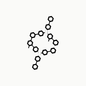 Cc1cc(N(c2ccc(-c3ccccc3)cc2)c2ccc(-c3cccc(-c4ccc(C)c(-c5ccc(N(c6ccc(-c7ccccc7)cc6)c6ccc(-c7ccccc7)cc6)cc5)c4)c3)cc2)ccc1-c1ccccc1